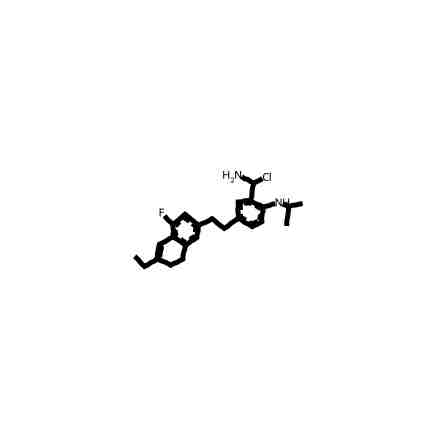 CCC1=Cc2c(F)cc(CCc3ccc(NC(C)C)c(C(N)Cl)c3)cc2CC1